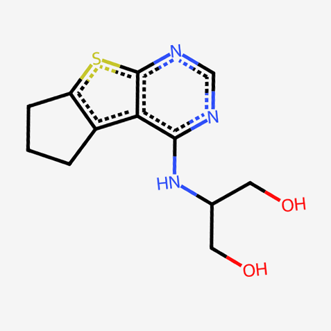 OCC(CO)Nc1ncnc2sc3c(c12)CCC3